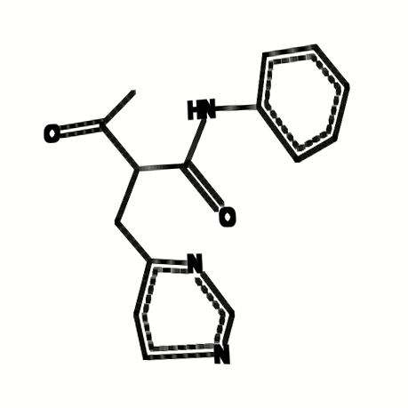 CC(=O)C(Cc1ccncn1)C(=O)Nc1ccccc1